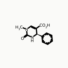 CN1C=C(C(=O)O)[C@@H](c2ccccc2)NC1=O